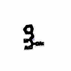 CC/C(=C\c1ccccc1)C(OC(C)=O)OC(C)=O